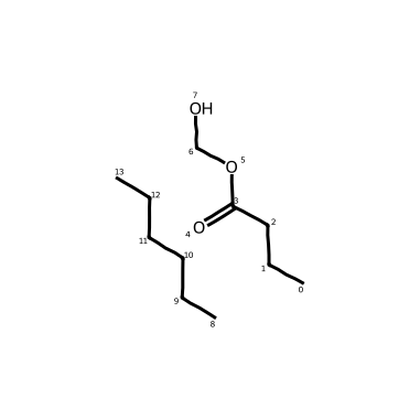 CCCC(=O)OCO.CCCCCC